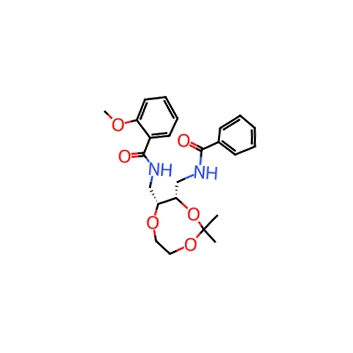 COc1ccccc1C(=O)NC[C@H]1OCCOC(C)(C)O[C@H]1CNC(=O)c1ccccc1